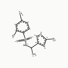 CC(NS(=O)(=O)c1ccc(C(F)(F)F)cc1Cl)c1noc(C(F)(F)F)n1